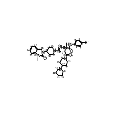 O=C(Nc1ccc(Br)cc1)N[C@@H](CC(=O)N1CCC(N2Cc3ccccc3NC2=O)CC1)C(=O)N1CCC(N2CCCCC2)CC1